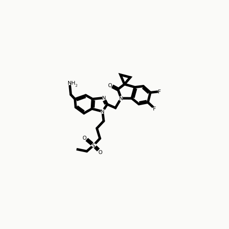 CCS(=O)(=O)CCCn1c(CN2C(=O)C3(CC3)c3cc(F)c(F)cc32)nc2cc(CN)ccc21